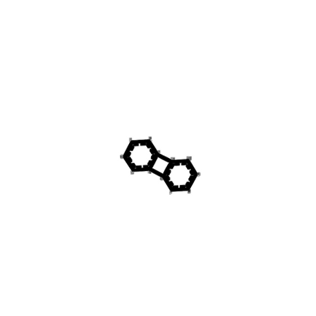 [c]1c[c]c2c(c1)-c1ccccc1-2